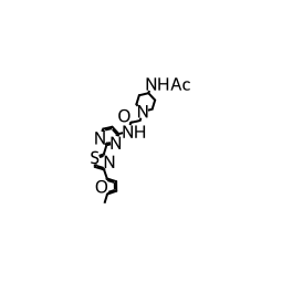 CC(=O)NC1CCN(CC(=O)Nc2ccnc(-c3nc(-c4ccc(C)o4)cs3)n2)CC1